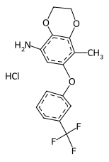 Cc1c(Oc2cccc(C(F)(F)F)c2)cc(N)c2c1OCCO2.Cl